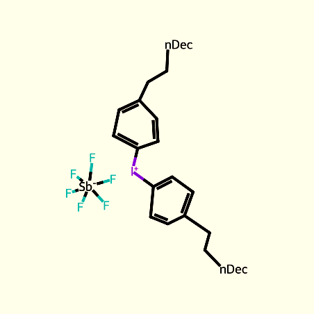 CCCCCCCCCCCCc1ccc([I+]c2ccc(CCCCCCCCCCCC)cc2)cc1.[F][Sb-]([F])([F])([F])([F])[F]